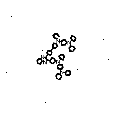 c1ccc(N(c2ccccc2)c2ccc(N(c3ccccc3)c3ccc(-c4ccc(-c5nc6ccccc6nc5-c5ccc(N(c6ccccc6)c6ccc(N(c7ccccc7)c7ccccc7)cc6)cc5)cc4)cc3)cc2)cc1